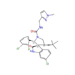 Cn1ccc(CNC(=O)N2C[C@@H](CC(C)(C)C)[C@@]3(C(=O)Nc4cc(Cl)ccc43)[C@H]2c2cccc(Cl)c2F)n1